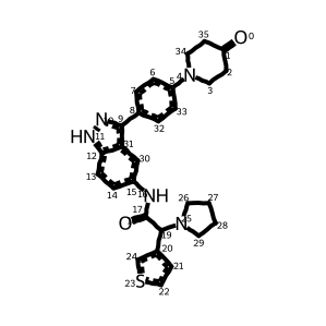 O=C1CCN(c2ccc(-c3n[nH]c4ccc(NC(=O)C(c5ccsc5)N5CCCC5)cc34)cc2)CC1